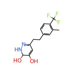 Cc1cc(CCC2=NNC(O)C(O)=C2)ccc1C(F)(F)F